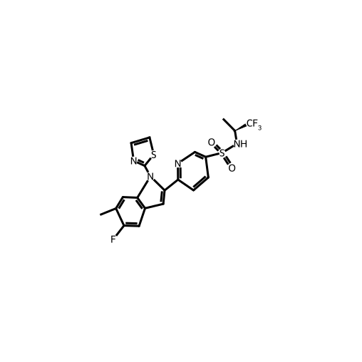 Cc1cc2c(cc1F)cc(-c1ccc(S(=O)(=O)N[C@@H](C)C(F)(F)F)cn1)n2-c1nccs1